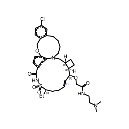 CC[C@@H]1CC/C=C/[C@H](OCC(=O)NCCN(C)C)[C@@H]2CC[C@H]2CN2CCCCc3cc(Cl)ccc3COc3ccc(cc32)C(=O)NS1(=O)=O